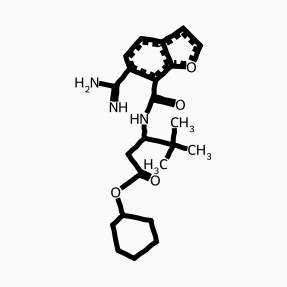 CC(C)(C)C(CC(=O)OC1CCCCC1)NC(=O)c1c(C(=N)N)ccc2ccoc12